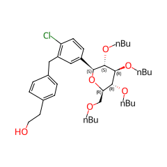 CCCCOC[C@H]1O[C@@H](c2ccc(Cl)c(Cc3ccc(CCO)cc3)c2)[C@H](OCCCC)[C@@H](OCCCC)[C@@H]1OCCCC